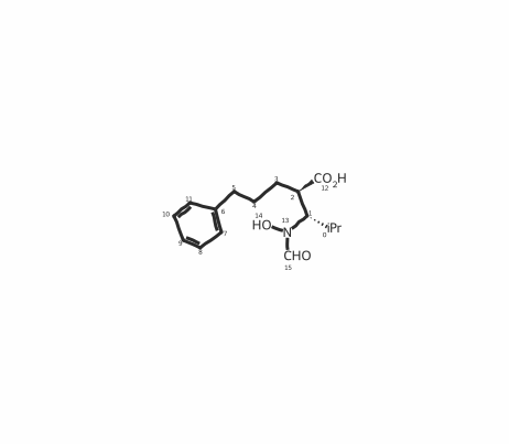 CC(C)[C@@H]([C@@H](CCCc1ccccc1)C(=O)O)N(O)C=O